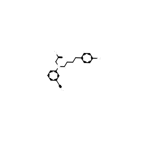 N#Cc1cccc(N(CCCCc2ccc(N)cc2)CC(N)=O)c1